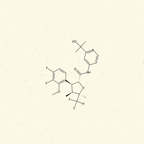 COc1c([C@H]2[C@H](C(=O)Nc3ccnc(C(C)(C)O)c3)O[C@@](C)(C(F)(F)F)[C@H]2C)ccc(F)c1F